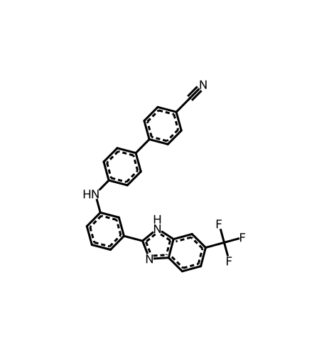 N#Cc1ccc(-c2ccc(Nc3cccc(-c4nc5ccc(C(F)(F)F)cc5[nH]4)c3)cc2)cc1